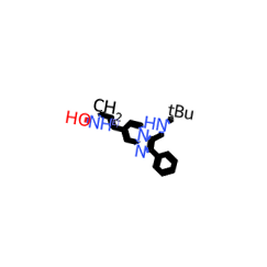 C=C(/C=C/c1ccn2c(CNCC(C)(C)C)c(-c3ccccc3)nc2c1)NO